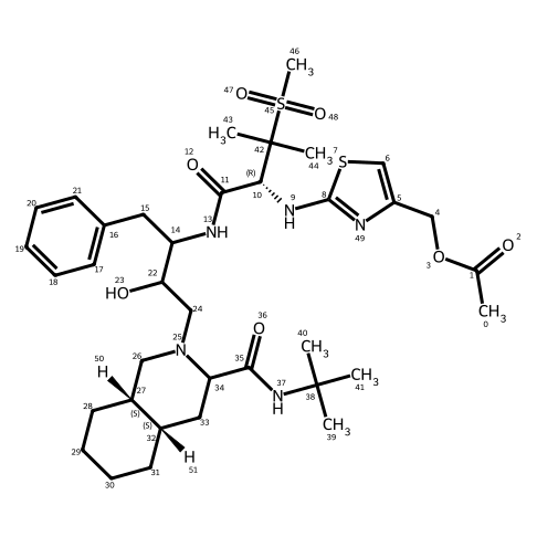 CC(=O)OCc1csc(N[C@H](C(=O)NC(Cc2ccccc2)C(O)CN2C[C@H]3CCCC[C@H]3CC2C(=O)NC(C)(C)C)C(C)(C)S(C)(=O)=O)n1